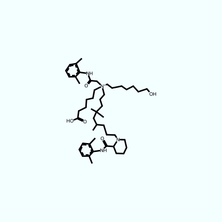 Cc1cccc(C)c1NC(=O)C[N+](CCCCCCCO)(CCCCCC(=O)O)CCCC(C)(C)CC(C)CCCN1CCCCC1C(=O)Nc1c(C)cccc1C